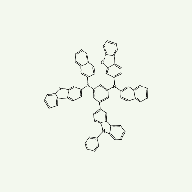 c1ccc(-n2c3ccccc3c3cc(-c4cc(N(c5ccc6ccccc6c5)c5ccc6c(c5)oc5ccccc56)cc(N(c5ccc6ccccc6c5)c5ccc6c(c5)sc5ccccc56)c4)ccc32)cc1